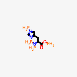 O=C(OP)C(Cc1cn(P)cn1)N(P)P